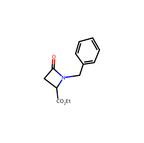 CCOC(=O)C1CC(=O)N1Cc1ccccc1